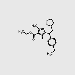 CCOC(=O)c1[nH]c(C(CC2CCCC2)c2ccc(CC)cc2)cc1C